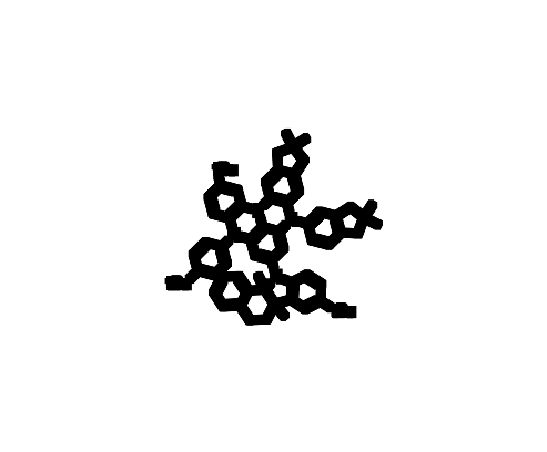 CC1(C)Cc2ccc(N3c4cc5c(cc4B4c6cc(C(C)(C)C)ccc6N(c6ccc(C(C)(C)C)cc6)c6cc(N7c8ccc(C(C)(C)C)cc8C8(C)CCc9ccccc9C78C)cc3c64)CC(C)(C)C5)cc2C1